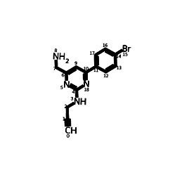 C#CCNc1nc(CN)cc(-c2ccc(Br)cc2)n1